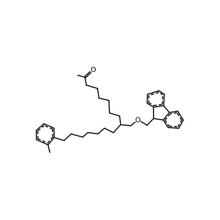 CC(=O)CCCCCCC(CCCCCCCc1ccccc1C)COCC1c2ccccc2-c2ccccc21